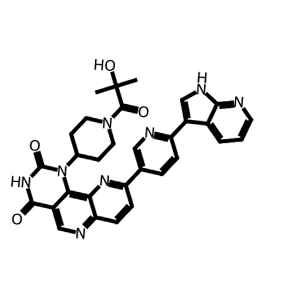 CC(C)(O)C(=O)N1CCC(n2c(=O)[nH]c(=O)c3cnc4ccc(-c5ccc(-c6c[nH]c7ncccc67)nc5)nc4c32)CC1